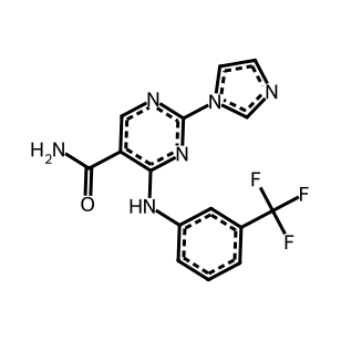 NC(=O)c1cnc(-n2ccnc2)nc1Nc1cccc(C(F)(F)F)c1